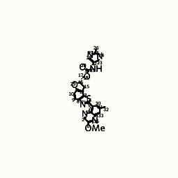 COc1cnc2c(-c3nc4ccc5c(c4s3)C[C@@H](COC(=O)Nc3cnc(C)nc3)O5)cc(C)cc2n1